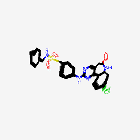 O=C1Cc2cnc(Nc3ccc(S(=O)(=O)NCc4ccccc4)cc3)nc2-c2ccc(Cl)cc2N1